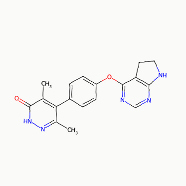 Cc1n[nH]c(=O)c(C)c1-c1ccc(Oc2ncnc3c2CCN3)cc1